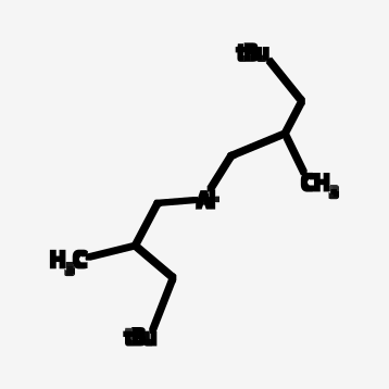 CC([CH2][Al][CH2]C(C)CC(C)(C)C)CC(C)(C)C